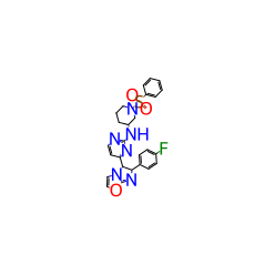 O=S(=O)(c1ccccc1)N1CCC[C@@H](Nc2nccc(C3C(c4ccc(F)cc4)N=C4OC=CN43)n2)C1